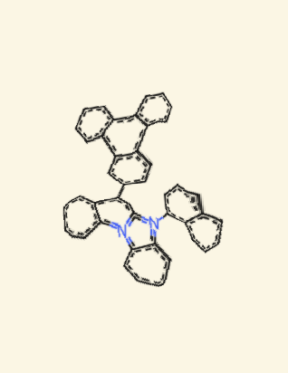 c1ccc2c(-n3c4ccccc4n4c5ccccc5c(-c5ccc6c7ccccc7c7ccccc7c6c5)c34)cccc2c1